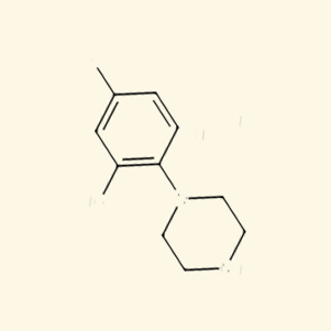 Cl.Cl.Oc1cc(F)ccc1N1CCNCC1